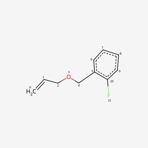 C=CCOCc1ccccc1F